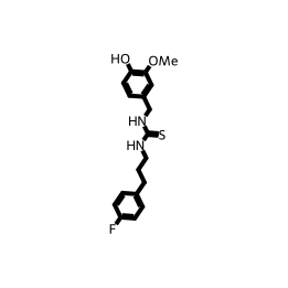 COc1cc(CNC(=S)NCCCc2ccc(F)cc2)ccc1O